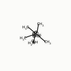 CCCCCCCCCCC(=O)OC[C@H]1O[C@@H](OCCCCCC(=O)NN)[C@H](OC(=O)CCCCCCCCCC)[C@@H](OC(=O)CCCCCCCCCC)[C@@H]1OC(=O)CCCCCCCCCC